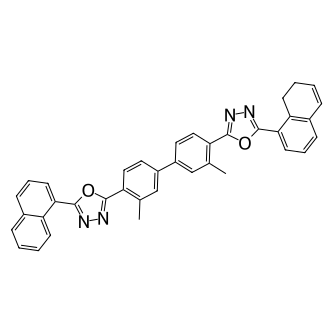 Cc1cc(-c2ccc(-c3nnc(-c4cccc5ccccc45)o3)c(C)c2)ccc1-c1nnc(-c2cccc3c2CCC=C3)o1